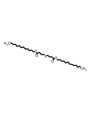 CCCCCCCCCCCCCOC(=O)CCCSCCCC(=O)OCCCCCCCCCCCCC